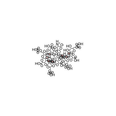 CO[C@H]1OC(COS(=O)(=O)O)[C@@H](O[C@@H]2OC(C(=O)O)[C@@H](O[C@H]3OC(COS(=O)(=O)O)[C@@H](O[C@@H]4OC(C(=O)O)[C@@H](O[C@H]5OC(COS(=O)(=O)O)[C@@H](O[C@@H]6OC(C(=O)O)[C@@H](O[C@H]7OC(COS(=O)(=O)O)[C@@H](O[C@@H]8OC(C(=O)O)[C@@H](O[C@H]9OC(COS(=O)(=O)O)[C@@H](O)[C@H](O)C9N)[C@H](O)C8O)[C@H](O)C7N)[C@H](O)C6O)[C@H](O)C5N)[C@H](O)C4O)[C@H](O)C3N)[C@H](O)C2O)[C@H](O)C1N